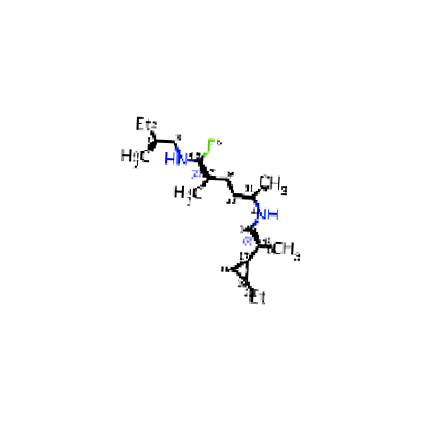 C=C(CC)CN/C(F)=C(\C)CCC(C)N/C=C(\C)C1CC1CC